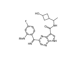 CNc1cc(F)ccc1C(=N)c1cnc2[nH]cc(C(=O)NC(C)C3CC(O)C3)c2n1